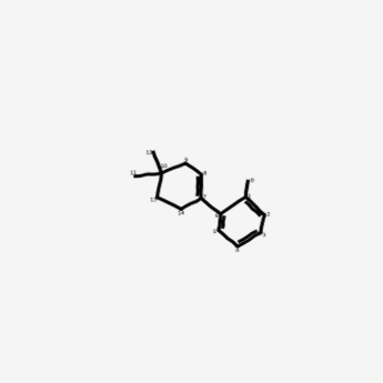 Cc1ccccc1C1=CCC(C)(C)CC1